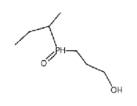 CCC(C)[PH](=O)CCCO